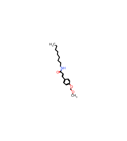 CCCCCCCCCNC(=O)C=Cc1ccc(OCOC)cc1